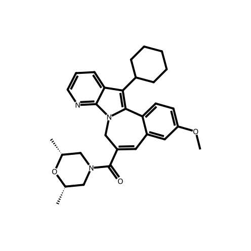 COc1ccc2c(c1)C=C(C(=O)N1C[C@@H](C)O[C@@H](C)C1)Cn1c-2c(C2CCCCC2)c2cccnc21